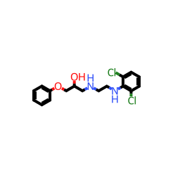 OC(CNCCNc1c(Cl)cccc1Cl)COc1ccccc1